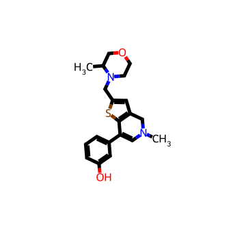 CC1COCCN1Cc1cc2c(s1)C(c1cccc(O)c1)=CN(C)C2